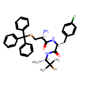 CC(C)(S)[C@@H](NC(=O)[C@@H](Cc1ccc(Cl)cc1)NC(=O)[C@@H](N)CSC(c1ccccc1)(c1ccccc1)c1ccccc1)C(=O)O